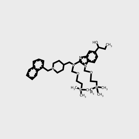 CCC(O)c1ccc2c(c1)nc(N(COCC[Si](C)(C)C)CC1CCN(Cc3cccc4ccccc34)CC1)n2COCC[Si](C)(C)C